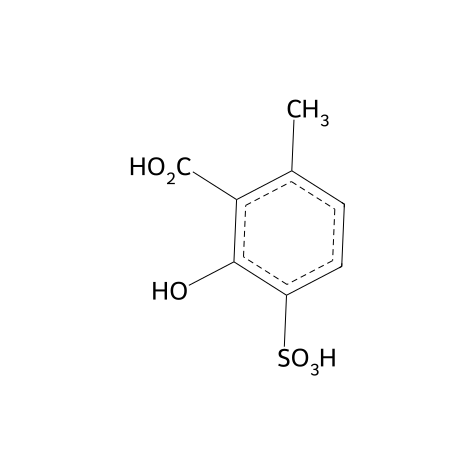 Cc1ccc(S(=O)(=O)O)c(O)c1C(=O)O